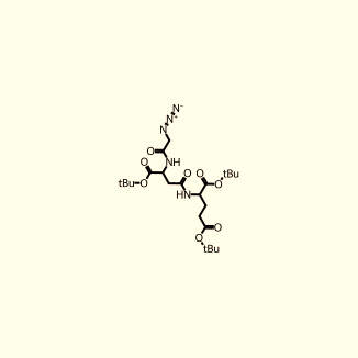 CC(C)(C)OC(=O)CCC(NC(=O)CC(NC(=O)CN=[N+]=[N-])C(=O)OC(C)(C)C)C(=O)OC(C)(C)C